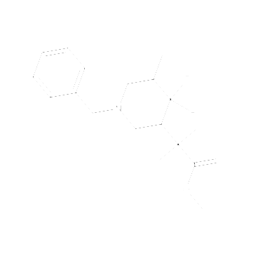 COC(=O)C(C)(C)C1CN(Cc2ccccc2)CC(C)C1(F)F